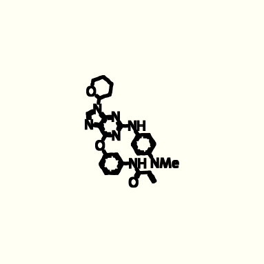 C=CC(=O)Nc1cccc(Oc2nc(Nc3ccc(NC)cc3)nc3c2ncn3C2CCCCO2)c1